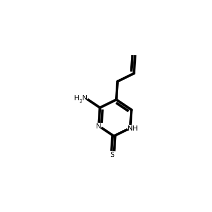 C=CCc1c[nH]c(=S)nc1N